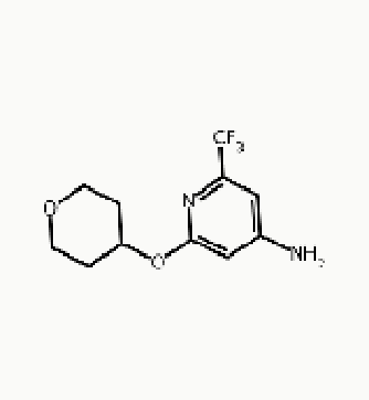 Nc1cc(OC2CCOCC2)nc(C(F)(F)F)c1